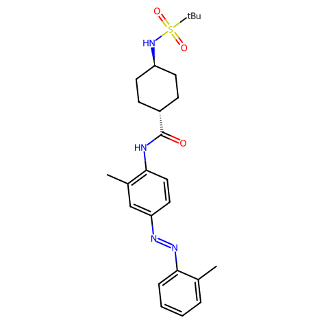 Cc1ccccc1/N=N/c1ccc(NC(=O)[C@H]2CC[C@H](NS(=O)(=O)C(C)(C)C)CC2)c(C)c1